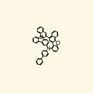 c1ccc(-c2ccc(N(c3ccc4oc5ccccc5c4c3)c3cccc4oc5c6ccccc6c(-c6ccc7ccccc7c6)cc5c34)cc2)cc1